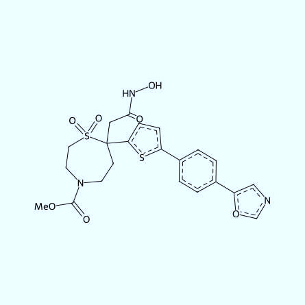 COC(=O)N1CCC(CC(=O)NO)(c2ccc(-c3ccc(-c4cnco4)cc3)s2)S(=O)(=O)CC1